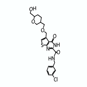 O=C(NCc1cccc(Cl)c1)c1nc2scc(COCC3CCC(CO)OC3)c2c(=O)[nH]1